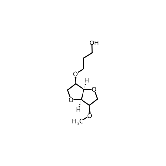 CO[C@@H]1CO[C@H]2[C@@H]1OC[C@H]2OCCCO